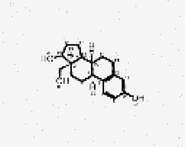 OC[C@]12CC[C@@H]3c4ccc(O)cc4CC[C@H]3[C@@H]1CC[C@@H]2O